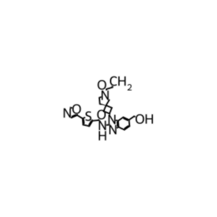 C=CC(=O)N1CC[C@]2(C1)C[C@H](n1c(NC(=O)c3ccc(-c4cnco4)s3)nc3ccc(CO)cc31)C2